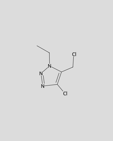 CCn1nnc(Cl)c1CCl